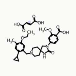 CCOc1cc(CN2CCC3(CC2)CN(c2ccc(C(=O)O)c(OC)c2)C(=O)N3)c(C2CC2)cc1C.O=C(O)/C=C/C(=O)O